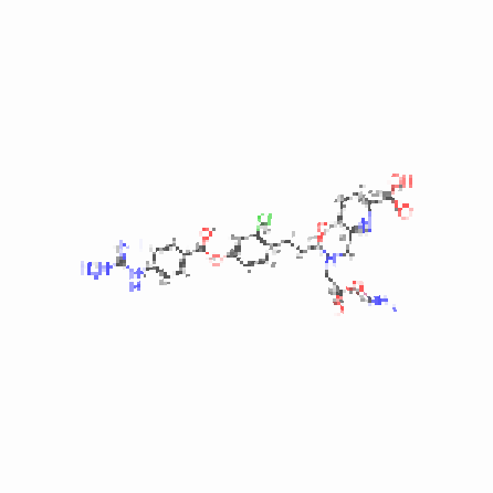 N=C(N)Nc1ccc(C(=O)Oc2ccc(CCC(=O)N(CC(=O)ON)Cc3cccc(C(=O)O)n3)c(Cl)c2)cc1